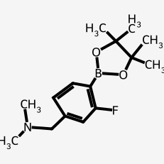 CN(C)Cc1ccc(B2OC(C)(C)C(C)(C)O2)c(F)c1